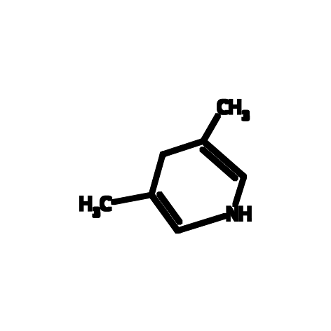 CC1=CNC=C(C)C1